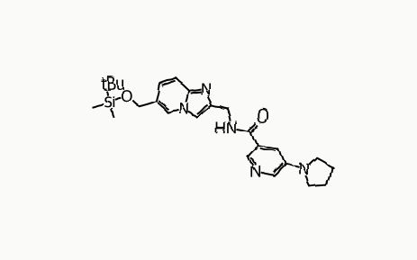 CC(C)(C)[Si](C)(C)OCc1ccc2nc(CNC(=O)c3cncc(N4CCCC4)c3)cn2c1